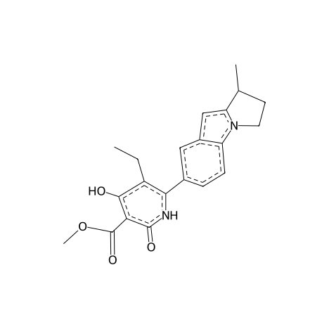 CCc1c(-c2ccc3c(c2)cc2n3CCC2C)[nH]c(=O)c(C(=O)OC)c1O